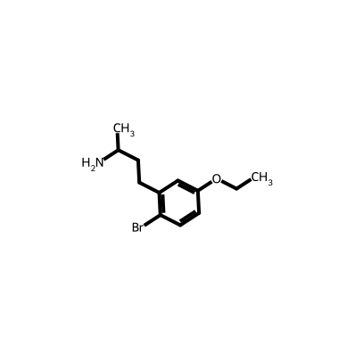 CCOc1ccc(Br)c(CCC(C)N)c1